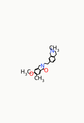 COc1cc2c(cc1C)C(=O)N(CCc1ccc3c(c1)CN(C)CC3)C2